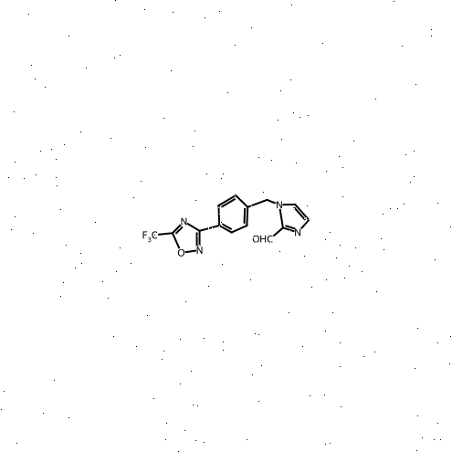 O=Cc1nccn1Cc1ccc(-c2noc(C(F)(F)F)n2)cc1